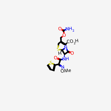 CON=C(C(=O)N[C@@H]1C(=O)N2C(C(=O)O)=C(COC(N)=O)CS[C@H]12)c1cccs1